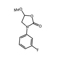 COC1CN(c2cccc(F)c2)C(=O)O1